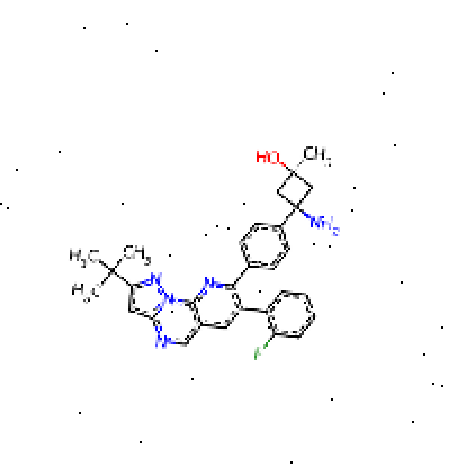 CC(C)(C)c1cc2ncc3cc(-c4ccccc4F)c(-c4ccc([C@]5(N)C[C@@](C)(O)C5)cc4)nc3n2n1